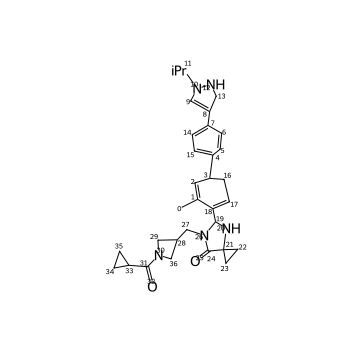 CC1=CC(c2ccc(C3=CN(C(C)C)NC3)cc2)CC=C1C1NC2(CC2)C(=O)N1CC1CN(C(=O)C2CC2)C1